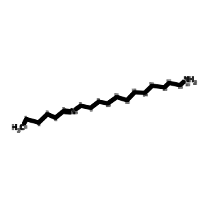 CCCCCC=NCCCCCCCCCCCCN